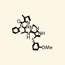 COc1cccc(Sc2c[nH]c3ncnc(NC(C)c4nn5ccc(C)c5c(=O)n4-c4ccccc4)c23)c1